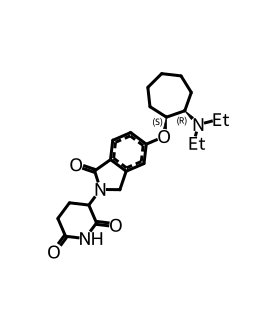 CCN(CC)[C@@H]1CCCCC[C@@H]1Oc1ccc2c(c1)CN(C1CCC(=O)NC1=O)C2=O